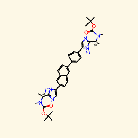 C[C@@H](c1ncc(-c2ccc(-c3ccc4cc(-c5cnc([C@H](C)N(C)C(=O)OC(C)(C)C)[nH]5)ccc4c3)cc2)[nH]1)N(C)C(=O)OC(C)(C)C